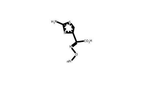 CCCO/N=C(\C(=O)O)c1csc(N)n1